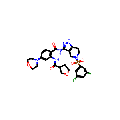 O=C(Nc1n[nH]c2c1CN(S(=O)(=O)c1cc(F)cc(F)c1)CC2)c1ccc(N2CCOCC2)cc1NC(=O)C1CCOC1